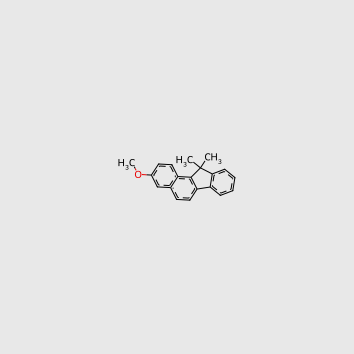 COc1ccc2c3c(ccc2c1)-c1ccccc1C3(C)C